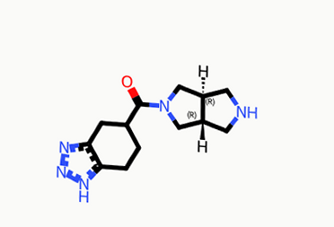 O=C(C1CCc2[nH]nnc2C1)N1C[C@H]2CNC[C@@H]2C1